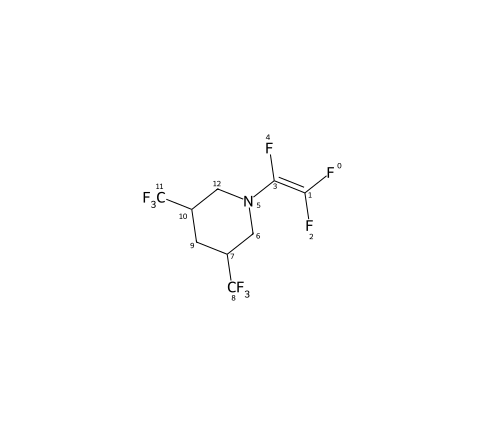 FC(F)=C(F)N1CC(C(F)(F)F)CC(C(F)(F)F)C1